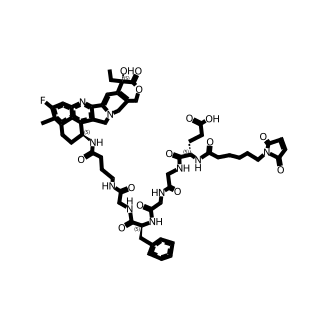 CC[C@@]1(O)C(=O)OCC2=C1C=C1c3nc4cc(F)c(C)c5c4c(c3CN1C2)[C@@H](NC(=O)CCCNC(=O)CNC(=O)[C@H](Cc1ccccc1)NC(=O)CNC(=O)CNC(=O)[C@H](CCC(=O)O)NC(=O)CCCCCN1C(=O)C=CC1=O)CC5